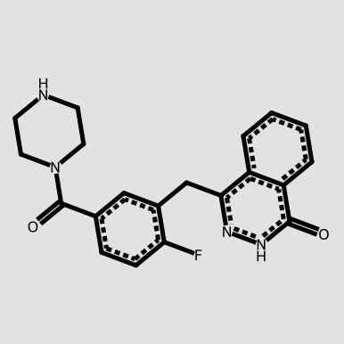 O=C(c1ccc(F)c(Cc2n[nH]c(=O)c3ccccc23)c1)N1CCNCC1